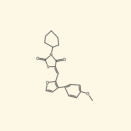 COc1ccc(-c2ccoc2/C=C2\SC(=O)N(C3CCCCC3)C2=O)cc1